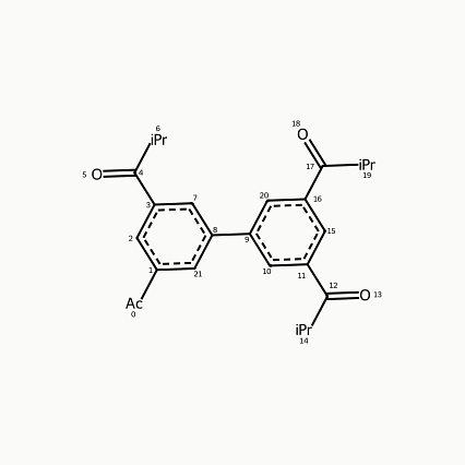 CC(=O)c1cc(C(=O)C(C)C)cc(-c2cc(C(=O)C(C)C)cc(C(=O)C(C)C)c2)c1